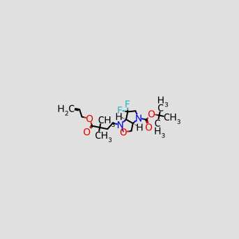 C=CCOC(=O)C(C)(C)CCN1OC[C@H]2[C@@H]1C(F)(F)CN2C(=O)OC(C)(C)C